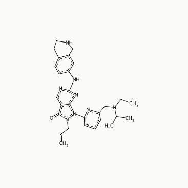 C=CCn1c(=O)c2cnc(Nc3ccc4c(c3)CNCC4)nc2n1-c1cccc(CN(CC)C(C)C)n1